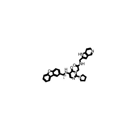 C[C@@H](Nc1cnc(N2CCCC2)n(CC(=O)NCc2cc3cnccc3[nH]2)c1=O)c1ccc2oc3ccccc3c2c1